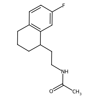 CC(=O)NCCC1CCCc2ccc(F)cc21